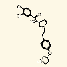 O=C(N[C@H]1CCN(CCc2ccc(O[C@H]3CCNC3)cc2)C1)c1ccc(Cl)c(Cl)c1